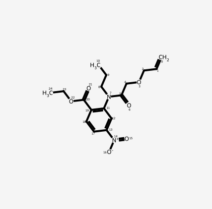 C=CCOCC(=O)N(CCC)c1cc([N+](=O)[O-])ccc1C(=O)OCC